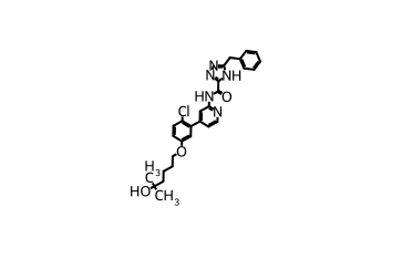 CC(C)(O)CCCCOc1ccc(Cl)c(-c2ccnc(NC(=O)c3nnc(Cc4ccccc4)[nH]3)c2)c1